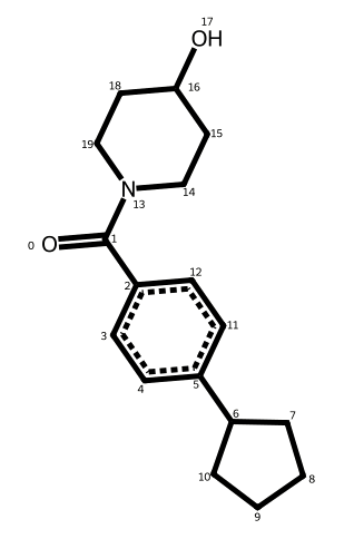 O=C(c1ccc(C2CCCC2)cc1)N1CCC(O)CC1